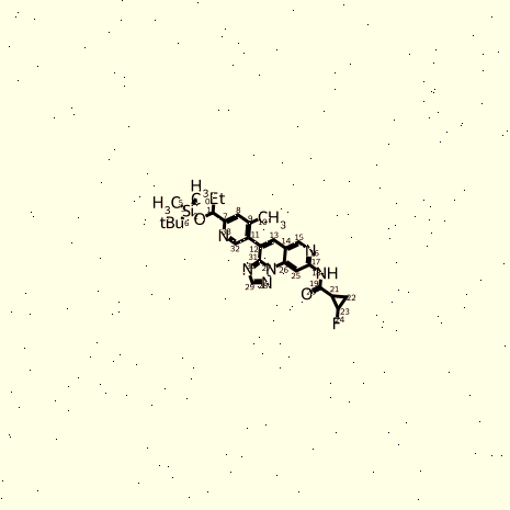 CCC(O[Si](C)(C)C(C)(C)C)c1cc(C)c(-c2cc3cnc(NC(=O)C4CC4F)cc3n3ncnc23)cn1